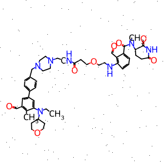 CCN(c1cc(-c2ccc(CN3CCN(CCNC(=O)CCOCCNc4cccc(C(=O)N(C)C5CCC(=O)NC5=O)c4C=O)CC3)cc2)cc(C=O)c1C)C1CCOCC1